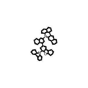 c1ccc2cc3c(cc2c1)-c1cccc2cccc(c12)N3c1cc(-c2cc(-n3c4ccccc4c4ccccc43)c3oc4ccccc4c3c2)c2ccccc2c1